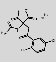 CC(=O)NC(CC(=O)c1cc(Cl)ccc1N)(C(=O)[O-])C(=O)[O-].[Na+].[Na+]